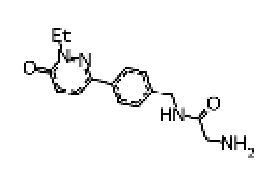 CCn1nc(-c2ccc(CNC(=O)CN)cc2)ccc1=O